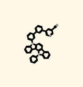 N#Cc1cncc(-c2cccc(-c3cccc(-n4c5ccccc5c5c4ccc4c6ccccc6n(-c6ccccc6)c45)c3)c2)c1